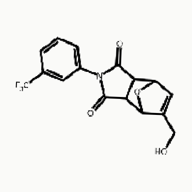 O=C1C2C3C=C(CO)C(O3)C2C(=O)N1c1cccc(C(F)(F)F)c1